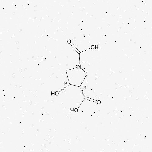 O=C(O)[C@H]1CN(C(=O)O)C[C@H]1O